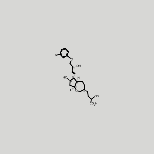 CCCC(CC[C@@H]1CC[C@@H]2[C@@H](C=C[C@@H](O)COc3cccc(F)c3)[C@H](O)C[C@@H]2OC1)C(=O)O